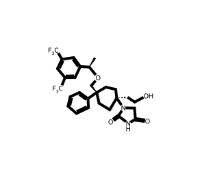 C[C@@H](OC[C@]1(c2ccccc2)CC[C@](CCO)(N2CC(=O)NC2=O)CC1)c1cc(C(F)(F)F)cc(C(F)(F)F)c1